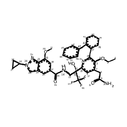 CCOc1c(CC(N)=O)cc([C@@](O)(CNC(=O)c2cc(OC)c3nn(C4CC4)cc3c2)C(F)(F)F)nc1-c1ccccc1-c1ccccc1